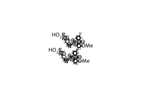 COc1ccccc1C(=O)c1cc(C)ccc1NC(=O)Nc1ncc(Cc2nc(C(=O)O)cn2C)s1.COc1ccccc1C(=O)c1cc(C)ccc1NC(=O)Nc1ncc(Cc2nc(C(=O)O)co2)s1